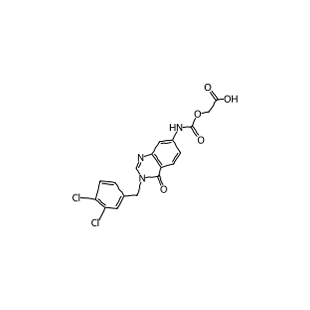 O=C(O)COC(=O)Nc1ccc2c(=O)n(Cc3ccc(Cl)c(Cl)c3)cnc2c1